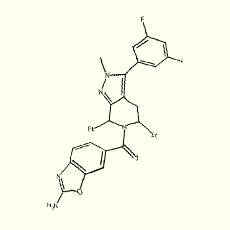 CCC1Cc2c(nn(C)c2-c2cc(F)cc(F)c2)C(CC)N1C(=O)c1ccc2nc(N)oc2c1